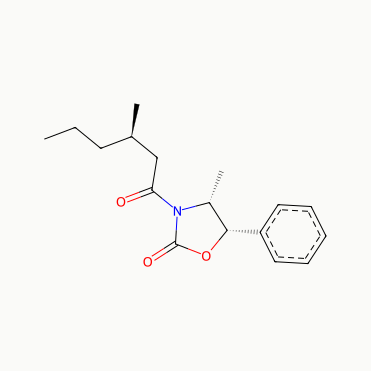 CCC[C@@H](C)CC(=O)N1C(=O)O[C@@H](c2ccccc2)[C@H]1C